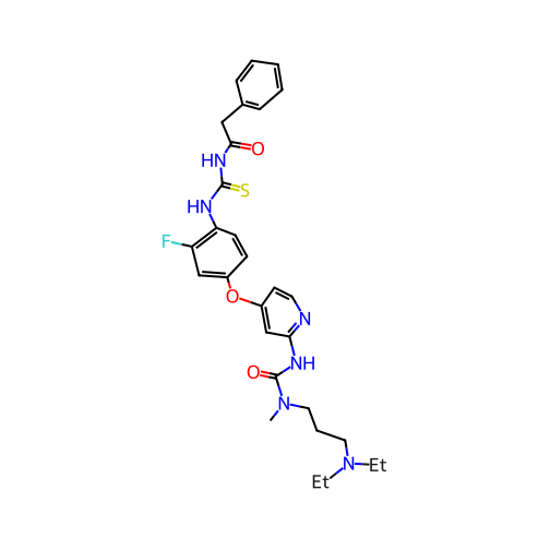 CCN(CC)CCCN(C)C(=O)Nc1cc(Oc2ccc(NC(=S)NC(=O)Cc3ccccc3)c(F)c2)ccn1